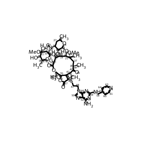 CC[C@H]1OC(=O)[C@H](C)[C@@H](O[C@H]2C[C@@](C)(OC)[C@@H](O)[C@H](C)O2)[C@H](C)[C@@H](O[C@@H]2O[C@H](C)C[C@H](N(C)C)[C@H]2O)[C@](C)(OC)C[C@@H](C)C(=O)[C@H](C)[C@H]2[C@H](SCCn3cnc4c(N)nc(NCc5ccncc5)nc43)C(=O)O[C@@]21C